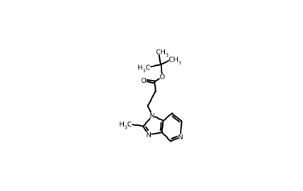 Cc1nc2cnccc2n1CCC(=O)OC(C)(C)C